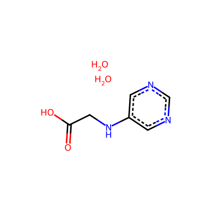 O.O.O=C(O)CNc1cncnc1